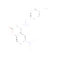 Cc1ccc(CNc2cc(=O)oc3ccc([N+](=O)[O-])cc23)cc1